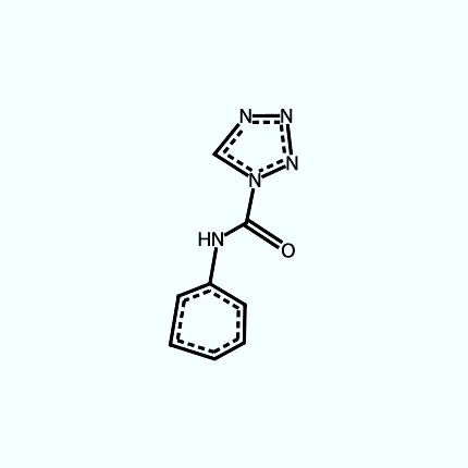 O=C(Nc1ccccc1)n1cnnn1